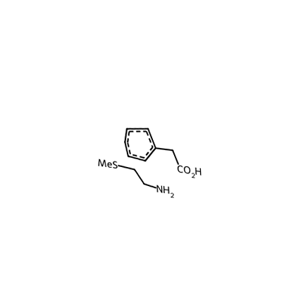 CSCCN.O=C(O)Cc1ccccc1